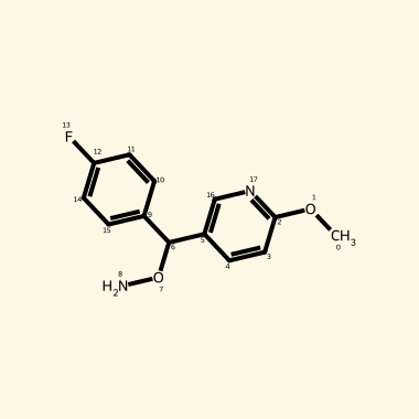 COc1ccc(C(ON)c2ccc(F)cc2)cn1